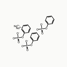 O=P([O-])([O-])Oc1ccccc1.O=P([O-])([O-])Oc1ccccc1.O=P([O-])([O-])Oc1ccccc1.[Nd+3].[Nd+3]